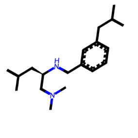 CC(C)Cc1cccc(CN[C@H](CC(C)C)CN(C)C)c1